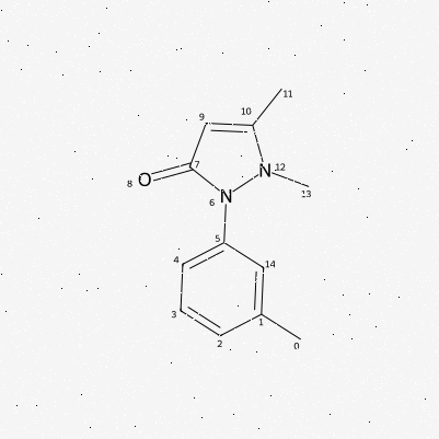 Cc1cccc(-n2c(=O)cc(C)n2C)c1